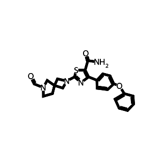 NC(=O)c1sc(N2CC3(CCN(C=O)C3)C2)nc1-c1ccc(Oc2ccccc2)cc1